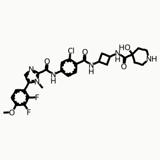 COc1ccc(-c2cnc(C(=O)Nc3ccc(C(=O)NC4CC(NC(=O)C5(O)CCNCC5)C4)c(Cl)c3)n2C)c(F)c1F